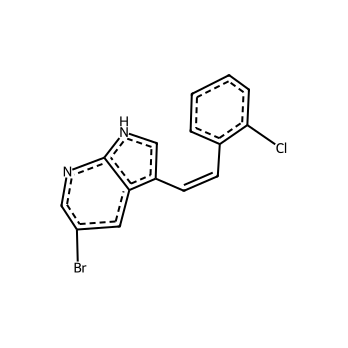 Clc1ccccc1/C=C\c1c[nH]c2ncc(Br)cc12